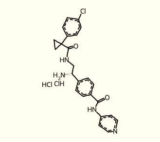 Cl.Cl.N[C@H](CNC(=O)C1(c2ccc(Cl)cc2)CC1)c1ccc(C(=O)Nc2ccncc2)cc1